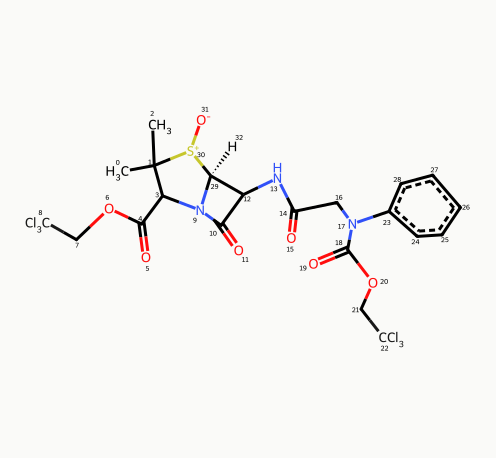 CC1(C)C(C(=O)OCC(Cl)(Cl)Cl)N2C(=O)C(NC(=O)CN(C(=O)OCC(Cl)(Cl)Cl)c3ccccc3)[C@@H]2[S+]1[O-]